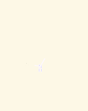 CC(=O)NC1=CCC1